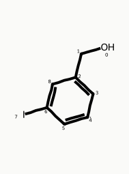 OCc1c[c]cc(I)c1